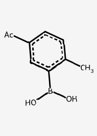 CC(=O)c1ccc(C)c(B(O)O)c1